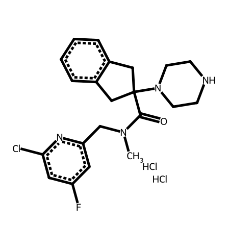 CN(Cc1cc(F)cc(Cl)n1)C(=O)C1(N2CCNCC2)Cc2ccccc2C1.Cl.Cl